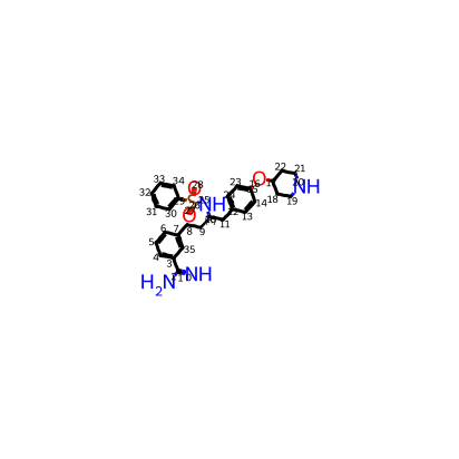 N=C(N)c1cccc(CC[C@H](Cc2ccc(OC3CCNCC3)cc2)NS(=O)(=O)c2ccccc2)c1